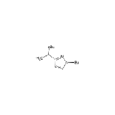 [CH2]C(CCCC)c1ccn(C(C)CC)n1